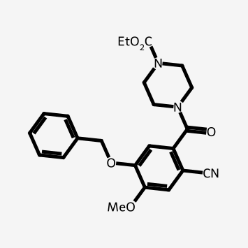 CCOC(=O)N1CCN(C(=O)c2cc(OCc3ccccc3)c(OC)cc2C#N)CC1